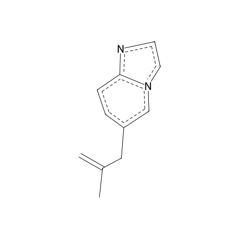 C=C(C)Cc1ccc2nccn2c1